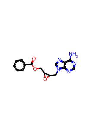 Nc1ncnc2c1ncn2CC1OC1COC(=O)c1ccccc1